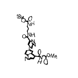 COC(=O)CNC(=O)c1ccnc2ccc(-n3cc(C(=O)NCCCNC(=O)OC(C)(C)C)nn3)cc12